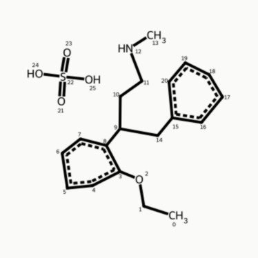 CCOc1ccccc1C(CCNC)Cc1ccccc1.O=S(=O)(O)O